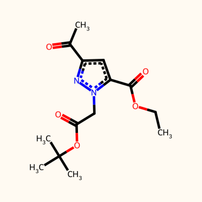 CCOC(=O)c1cc(C(C)=O)nn1CC(=O)OC(C)(C)C